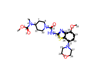 COC(=O)N(C)C1CCN(C(=O)Nc2nc3c(OC)ccc(N4CCOCC4)c3s2)CC1